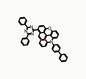 c1ccc(-c2ccc(N(c3ccccc3)c3cccc4c3-c3cccc5c(-c6nc(-c7ccccc7)nc(-c7ccccc7)n6)ccc(c35)O4)cc2)cc1